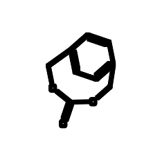 O=C1OCc2ccc(cc2)CO1